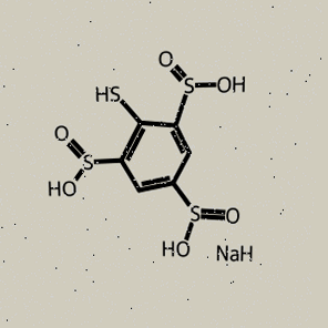 O=S(O)c1cc(S(=O)O)c(S)c(S(=O)O)c1.[NaH]